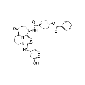 O=C[C@H](CC(=O)O)NC(=O)[C@@H]1CCCN2C(=O)CCN(NC(=O)c3ccc(OC(=O)c4ccccc4)cc3)C(=O)N12